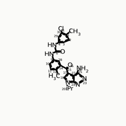 Cc1ccc(NC(=O)Nc2ccc(C)c(C(=O)c3cn(C(C)C)c4ncnc(N)c34)c2)cc1Cl